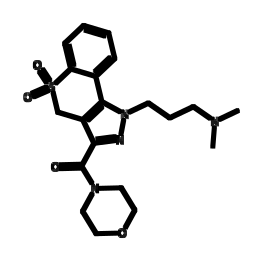 CN(C)CCCn1nc(C(=O)N2CCOCC2)c2c1-c1ccccc1S(=O)(=O)C2